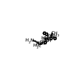 CCNC(=O)[C@]1(Cc2ccccc2)CCCN(C(=O)[C@@H](Cc2ccc3ccccc3c2)NC(=O)N[C@@H]2CCCN(C(=O)CC(C)NC(=O)CCCCCN)C2)C1